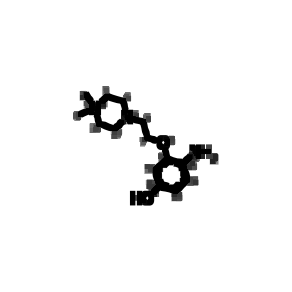 C[N+]1(C)CCN(CCOc2cc(O)ccc2N)CC1